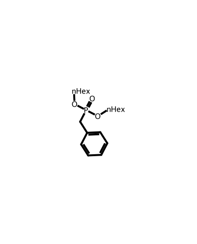 CCCCCCOP(=O)(Cc1ccccc1)OCCCCCC